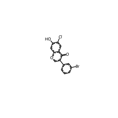 O=c1c(-c2cccc(Br)c2)coc2cc(O)c(Cl)cc12